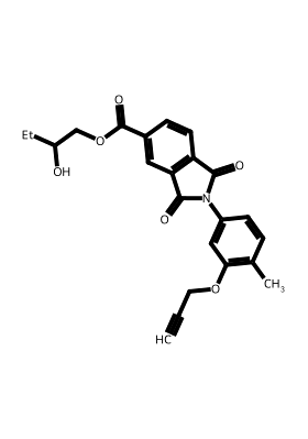 C#CCOc1cc(N2C(=O)c3ccc(C(=O)OCC(O)CC)cc3C2=O)ccc1C